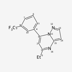 CCc1cc(-c2cccc(C(F)(F)F)c2)n2nccc2n1